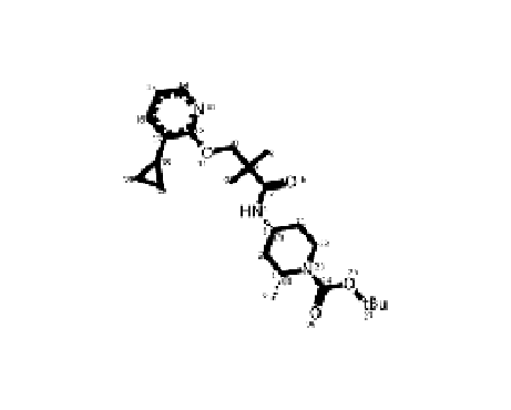 C[C@@H]1C[C@H](NC(=O)C(C)(C)COc2ncccc2C2CC2)CCN1C(=O)OC(C)(C)C